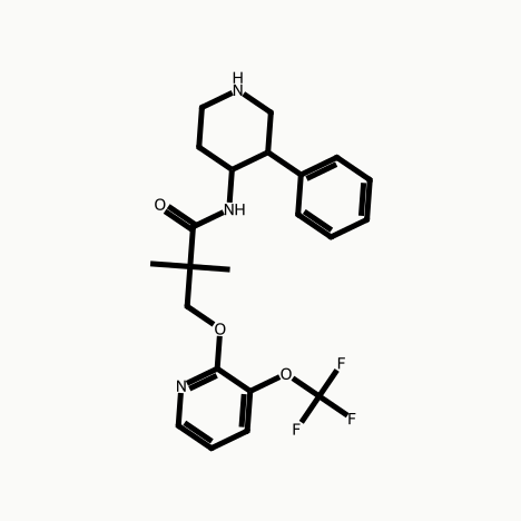 CC(C)(COc1ncccc1OC(F)(F)F)C(=O)NC1CCNCC1c1ccccc1